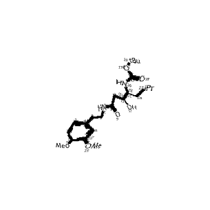 COc1ccc(CCNC(=O)C[C@H](O)[C@H](CC(C)C)NC(=O)OC(C)(C)C)cc1OC